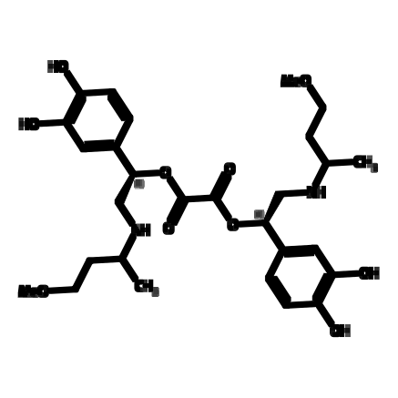 COCCC(C)NC[C@H](OC(=O)C(=O)O[C@@H](CNC(C)CCOC)c1ccc(O)c(O)c1)c1ccc(O)c(O)c1